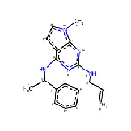 C=CCNc1nc(NC(C)c2ccccc2)c2ccn(C)c2n1